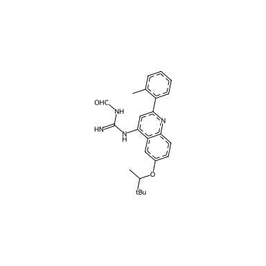 Cc1ccccc1-c1cc(NC(=N)NC=O)c2cc(OC(C)C(C)(C)C)ccc2n1